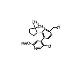 COc1cc(-c2ccc(CCl)cc2[C@@H]2CCCC2(C)C)c(Cl)cn1